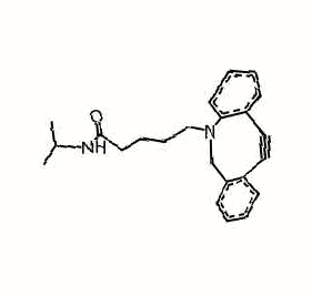 CC(C)NC(=O)CCCCN1Cc2ccccc2C#Cc2ccccc21